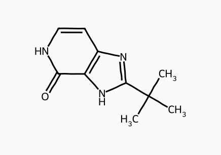 CC(C)(C)c1nc2cc[nH]c(=O)c2[nH]1